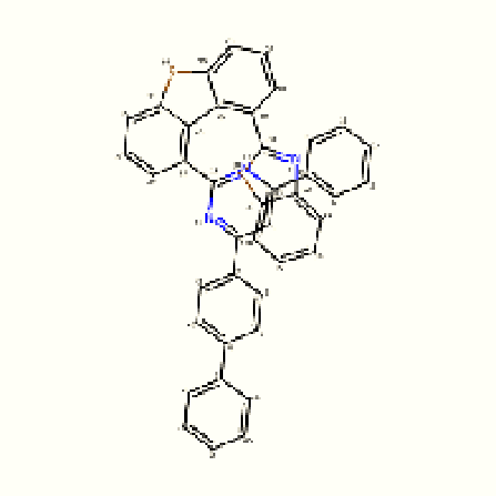 c1ccc(-c2ccc(-c3cc(-c4ccccc4)nc(-c4cccc5sc6cccc(-c7nc8ccccc8s7)c6c45)n3)cc2)cc1